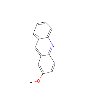 COc1ccc2nc3ccccc3cc2c1